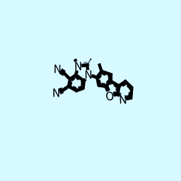 Cc1cc2c(cc1N1c3ccc(C#N)c(C#N)c3N(C)[C@@H]1C)oc1ncccc12